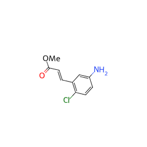 COC(=O)/C=C/c1cc(N)ccc1Cl